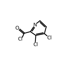 O=C(Cl)c1nccc(Cl)c1Cl